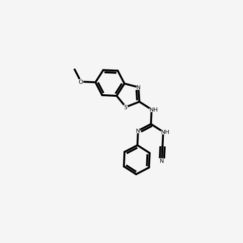 COc1ccc2nc(NC(=Nc3ccccc3)NC#N)sc2c1